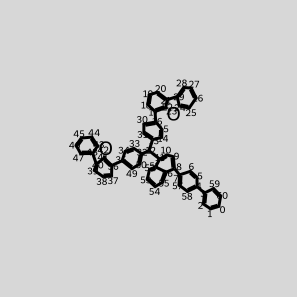 c1ccc(-c2ccc(-c3ccc(C(c4ccc(-c5cccc6c5oc5ccccc56)cc4)c4ccc(-c5cccc6c5oc5ccccc56)cc4)c4ccccc34)cc2)cc1